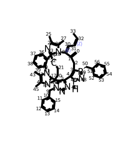 C=C1CC2=C(c3nnn(Cc4ccccc4)c3C3N4CCCCN5C(C)=C(C)N(/C1=C/C=C\C)C5c1ccccc1N3C(C)=C4C)[PH](C)=N[P@@]2Cc1ccccc1